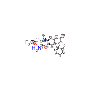 Cc1ccccc1-c1cc(=O)oc2cc(N(C)[C@@H](COC(F)(F)F)C(N)=O)ccc12